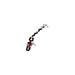 CCOCCCCCCCCN1CCC(c2cnc(N3C4CCC3CN(CC)C4)nc2)CC1